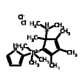 CC1=C(C)C(C)([SiH](C)C)[C]([Ti+2]([CH3])([CH3])([CH3])[c]2ccc[pH]2)=C1C.[Cl-].[Cl-]